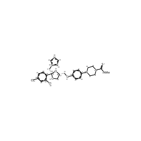 CNC(=S)N1CCN(c2ccc(OC[C@@H]3CO[C@@](Cn4cncn4)(c4ccc(Cl)cc4Cl)O3)cc2)CC1